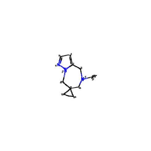 CC(C)N1Cc2ccnn2CC2(CC2)C1